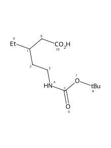 CCC(CCNC(=O)OC(C)(C)C)CC(=O)O